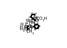 CC1(C)OB(c2ccccc2NC(=O)[C@@]2(C(C)(C)C)CCCN2C(=O)O)OC1(C)C